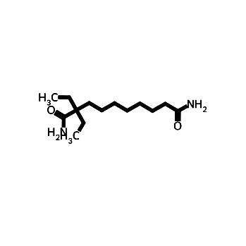 CCC(CC)(CCCCCCCC(N)=O)C(N)=O